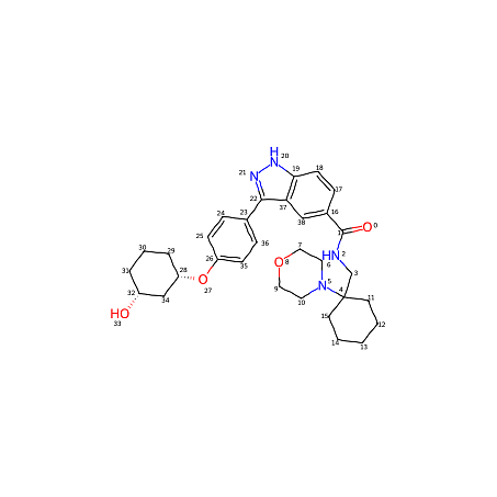 O=C(NCC1(N2CCOCC2)CCCCC1)c1ccc2[nH]nc(-c3ccc(O[C@H]4CCC[C@@H](O)C4)cc3)c2c1